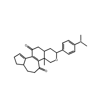 CN(C)c1ccc(C2CC3CC(=O)C4=C(C(=O)CCC5CCC=C45)C3(C)CO2)cc1